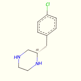 Clc1ccc(C[C@H]2CNCCN2)cc1